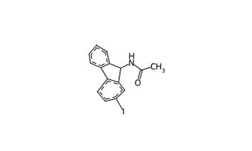 CC(=O)NC1c2ccccc2-c2ccc(I)cc21